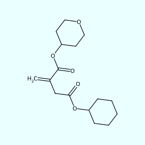 C=C(CC(=O)OC1CCCCC1)C(=O)OC1CCOCC1